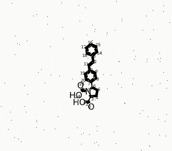 O=C(O)[C@@H]1CC[C@H](c2ccc(/C=C/c3ccccc3)cc2)N1C(=O)O